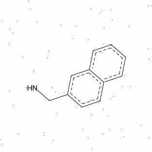 [NH]Cc1ccc2ccccc2c1